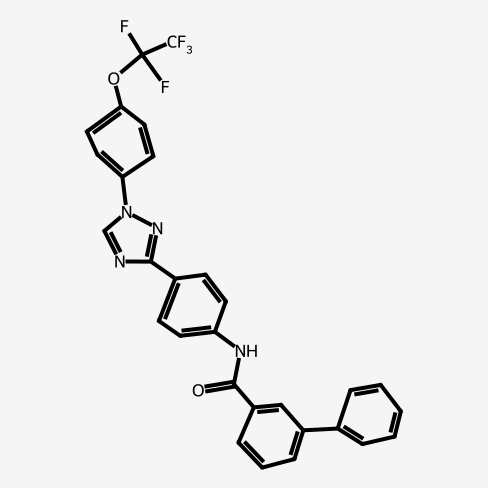 O=C(Nc1ccc(-c2ncn(-c3ccc(OC(F)(F)C(F)(F)F)cc3)n2)cc1)c1cccc(-c2ccccc2)c1